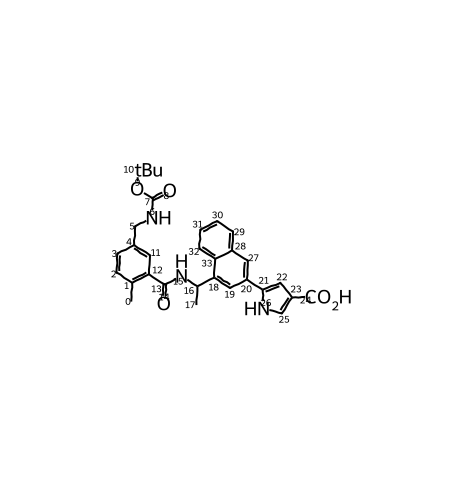 Cc1ccc(CNC(=O)OC(C)(C)C)cc1C(=O)NC(C)c1cc(-c2cc(C(=O)O)c[nH]2)cc2ccccc12